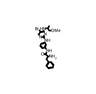 COCC(C)Nc1nc(Nc2cccc(NC(=O)C(N)Cc3ccccc3)c2)ncc1Br